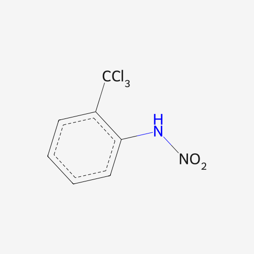 O=[N+]([O-])Nc1ccccc1C(Cl)(Cl)Cl